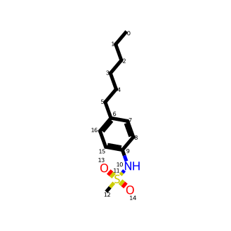 CCCCCCc1ccc(NS(C)(=O)=O)cc1